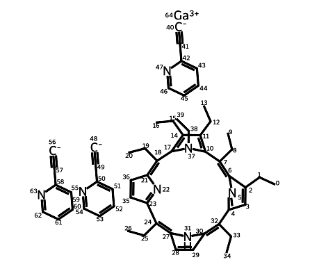 CCC1=Cc2nc1c(CC)c1c(CC)c(CC)c(c(CC)c3nc(c(CC)c4ccc([nH]4)c2CC)C=C3)n1CC.[C-]#Cc1ccccn1.[C-]#Cc1ccccn1.[C-]#Cc1ccccn1.[Ga+3]